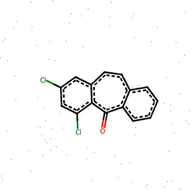 O=c1c2ccccc2ccc2cc(Cl)cc(Cl)c12